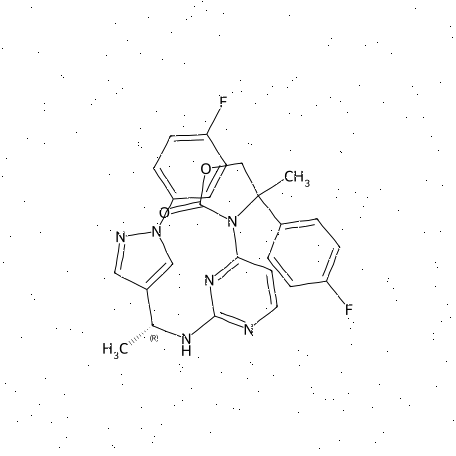 C[C@@H](Nc1nccc(N2C(=O)OCC2(C)c2ccc(F)cc2)n1)c1cnn(-c2ccc(F)cc2)c1